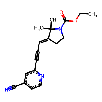 CCOC(=O)N1CC/C(=C\C#Cc2cc(C#N)ccn2)C1(C)C